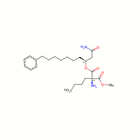 CC(C)(C)OC(=O)[C@](N)(CCCC(=O)O)C(=O)O[C@@H](CCCCCCCc1ccccc1)CC(N)=O